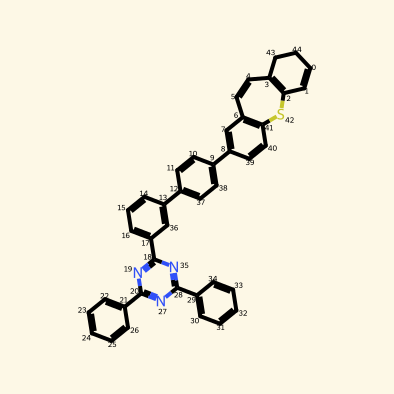 C1=CC2=C(C=Cc3cc(-c4ccc(-c5cccc(-c6nc(-c7ccccc7)nc(-c7ccccc7)n6)c5)cc4)ccc3S2)CC1